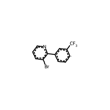 FC(F)(F)c1[c]ccc(-c2ncccc2Br)c1